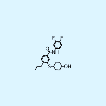 CCCc1ccc(C(=O)Nc2ccc(F)c(F)c2)cc1SC1CCC(O)CC1